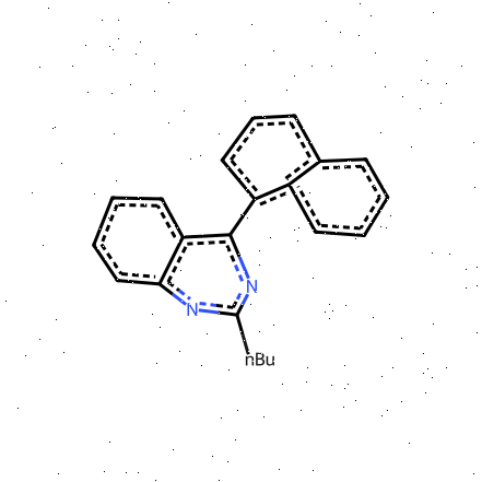 CCCCc1nc(-c2cccc3ccccc23)c2ccccc2n1